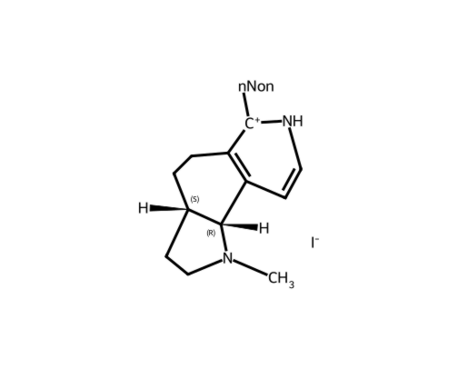 CCCCCCCCC[c+]1[nH]ccc2c1CC[C@H]1CCN(C)[C@@H]21.[I-]